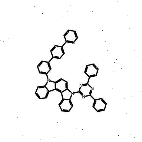 c1ccc(-c2ccc(-c3cccc(-n4c5ccccc5c5c6c7ccccc7n(-c7nc(-c8ccccc8)nc(-c8ccccc8)n7)c6ccc54)c3)cc2)cc1